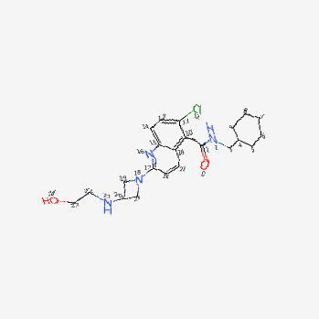 O=C(NCC1CCCCC1)c1c(Cl)ccc2nc(N3CC(NCCO)C3)ccc12